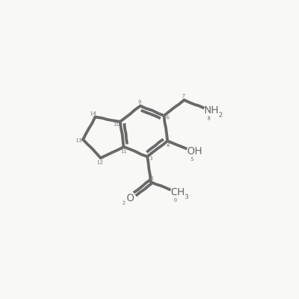 CC(=O)c1c(O)c(CN)cc2c1CCC2